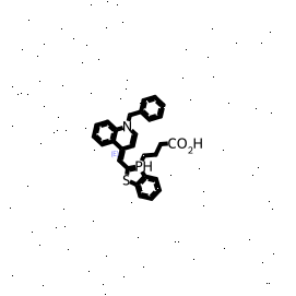 O=C(O)CCC[PH]1=C(/C=C2\C=CN(Cc3ccccc3)c3ccccc32)Sc2ccccc21